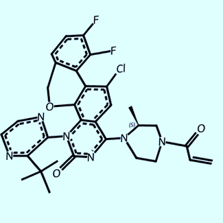 C=CC(=O)N1CCN(c2nc(=O)n(-c3nccnc3C(C)(C)C)c3c4c(c(Cl)cc23)-c2c(ccc(F)c2F)CO4)[C@@H](C)C1